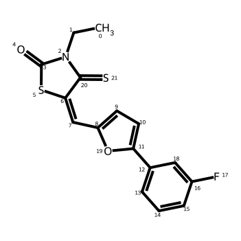 CCN1C(=O)S/C(=C/c2ccc(-c3cccc(F)c3)o2)C1=S